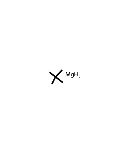 CC(C)(C)I.[MgH2]